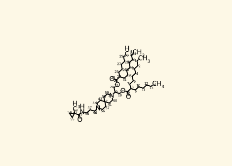 CCCCCCCCC(CCCCCC)C(=O)OCC(COC(=O)C(CCCCCC)CCCCCCCC)N1CCC2(CCN(CCCNC(=O)C3(C)CC3)CC2)CC1